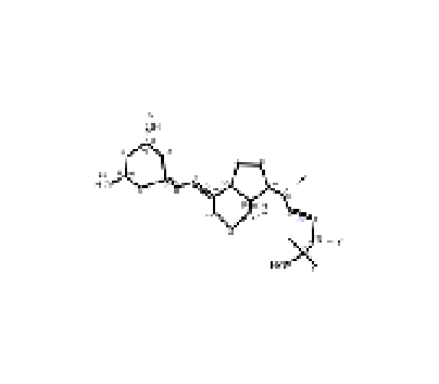 C[C@H](/C=C/[C@H](C)C(C)(C)O)C1CCC2/C(=C/C=C3C[C@@H](O)C[C@H](O)C3)CCC[C@@]21C